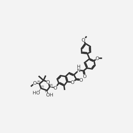 COc1ccc(-c2cc(C(=O)Nc3cc4ccc(O[C@@H]5OC(C)(C)[C@H](OC)[C@@H](O)[C@H]5O)c(C)c4oc3=O)ccc2OC)cc1